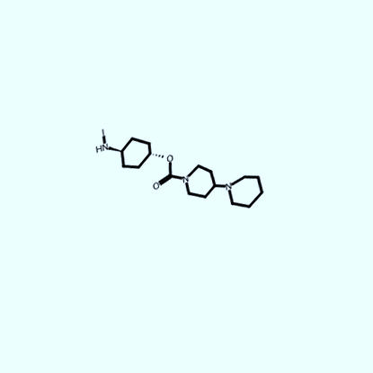 O=C(O[C@H]1CC[C@H](NI)CC1)N1CCC(N2CCCCC2)CC1